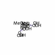 C=C(/C=C/c1ccc(O)c(O)c1)O[C@@H]1C[C@](O)(C(=O)NOC)C[C@@H](OC(=O)/C=C/c2ccc(O)c(O)c2)[C@H]1O